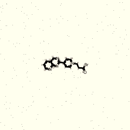 O=C(Br)CC[n+]1ccc(-c2ncc3cccnc3n2)cc1